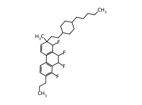 CCCCCC1CCC(CCC2(C)C=CC3=C(C(F)C(F)c4c3ccc(CCC)c4F)C2F)CC1